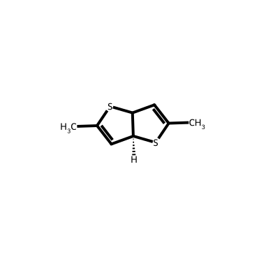 CC1=C[C@@H]2SC(C)=CC2S1